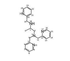 CC(CN(Cc1ccccn1)Cc1ccccn1)NCc1ccccn1